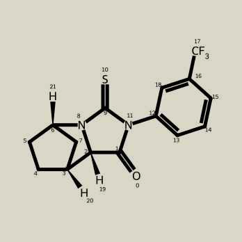 O=C1[C@@H]2[C@@H]3CC[C@@H](C3)N2C(=S)N1c1cccc(C(F)(F)F)c1